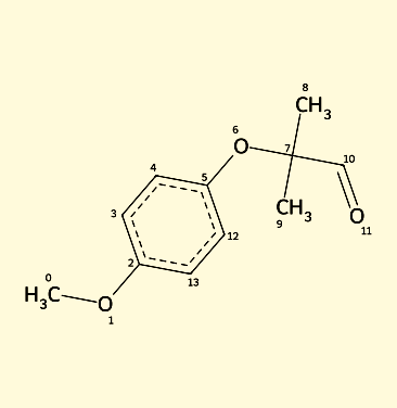 COc1ccc(OC(C)(C)C=O)cc1